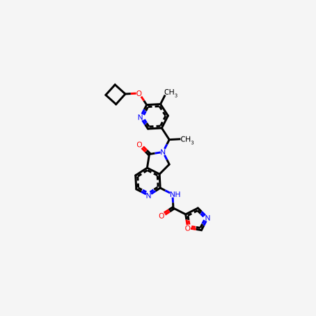 Cc1cc(C(C)N2Cc3c(ccnc3NC(=O)c3cnco3)C2=O)cnc1OC1CCC1